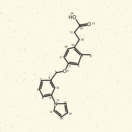 Cc1cc(OCc2cccc(-n3cccc3)c2)ccc1CCC(=O)O